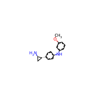 COc1cccc(Nc2ccc([C@@H]3C[C@H]3N)cc2)c1